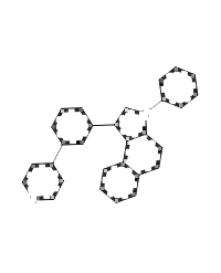 c1ccc(-n2cc(-c3cccc(-c4ccncc4)c3)c3c4ccccc4ccc32)cc1